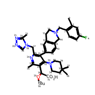 Cc1cc(F)ccc1CN1CCc2cc(-c3c(Cn4cnnc4C)nc(C)c(C(OC(C)(C)C)C(=O)O)c3N3CCC(C)(C)CC3)ccc2C1